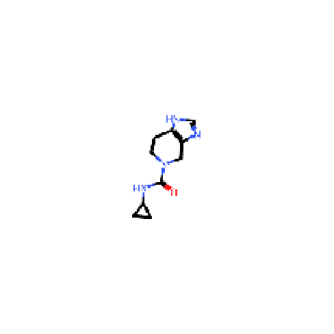 O=C(NC1CC1)N1CCc2[nH]cnc2C1